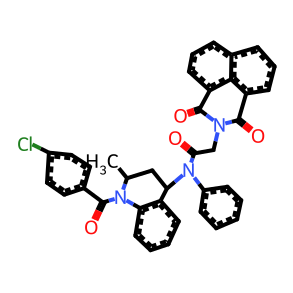 CC1CC(N(C(=O)CN2C(=O)c3cccc4cccc(c34)C2=O)c2ccccc2)c2ccccc2N1C(=O)c1ccc(Cl)cc1